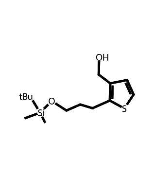 CC(C)(C)[Si](C)(C)OCCCc1sccc1CO